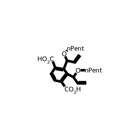 C=CC(OCCCCC)c1c(C(=O)O)ccc(C(=O)O)c1C(C=C)OCCCCC